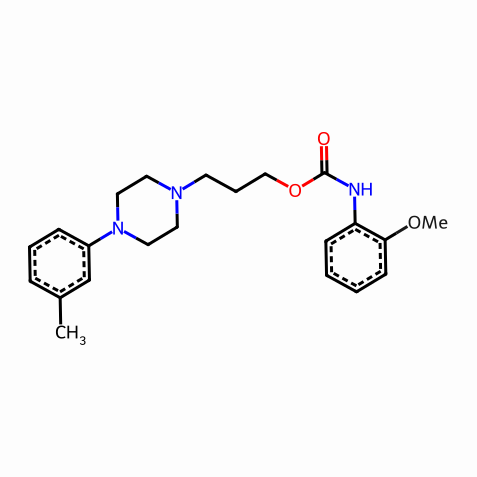 COc1ccccc1NC(=O)OCCCN1CCN(c2cccc(C)c2)CC1